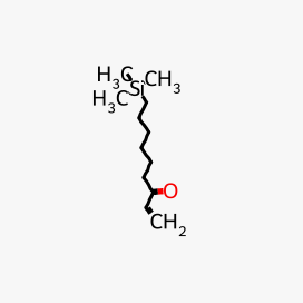 C=CC(=O)CCCCCC[Si](C)(C)C